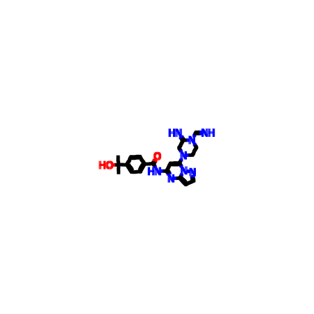 CC(C)(O)c1ccc(C(=O)Nc2cc(N3CCN(C=N)C(=N)C3)n3nccc3n2)cc1